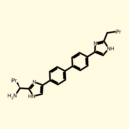 CC(C)Cc1nc(-c2ccc(-c3ccc(-c4c[nH]c([C@@H](N)C(C)C)n4)cc3)cc2)c[nH]1